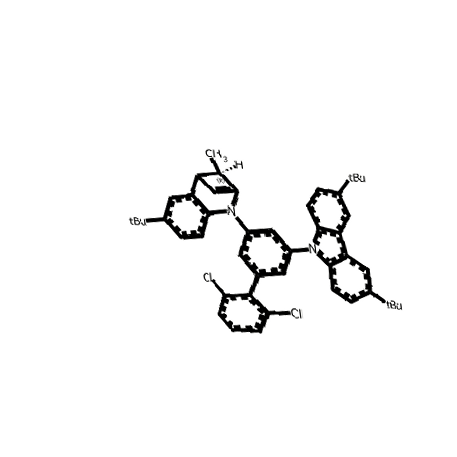 C[C@H]1C2=CC1c1cc(C(C)(C)C)ccc1N2c1cc(-c2c(Cl)cccc2Cl)cc(-n2c3ccc(C(C)(C)C)cc3c3cc(C(C)(C)C)ccc32)c1